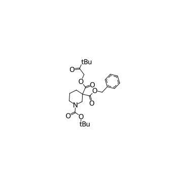 CC(C)(C)OC(=O)N1CCCC(C(=O)OCC(=O)C(C)(C)C)(C(=O)OCc2ccccc2)C1